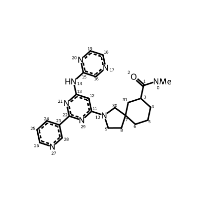 CNC(=O)C1CCCC2(CCN(c3cc(Nc4cnccn4)nc(-c4cccnc4)n3)C2)C1